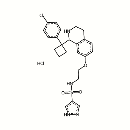 Cl.O=S(=O)(NCCOc1ccc2c(c1)C(C1(c3ccc(Cl)cc3)CCC1)NCC2)c1cn[nH]c1